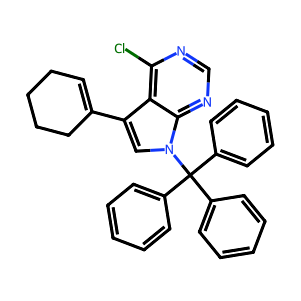 Clc1ncnc2c1c(C1=CCCCC1)cn2C(c1ccccc1)(c1ccccc1)c1ccccc1